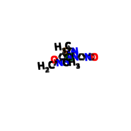 C=CC(=O)Nc1ccc(Sc2nc(Nc3ccc(N4CCOCC4)cc3)ncc2C)c(Cl)c1C